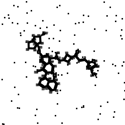 CC(C)c1noc(/C=C/C(=O)N2CC(CN(C)c3nc(OC[C@@]45CCCN4C[C@H](F)C5)nc4c(F)c(-c5cccc6cccc(Cl)c56)ncc34)C2)n1